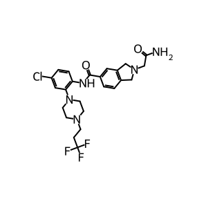 NC(=O)CN1Cc2ccc(C(=O)Nc3ccc(Cl)cc3N3CCN(CCC(F)(F)F)CC3)cc2C1